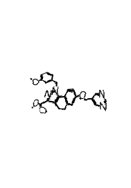 COC(=O)c1nn(Cc2cccc(OC)c2)c2c1CCc1cc(OCc3cncnc3)ccc1-2